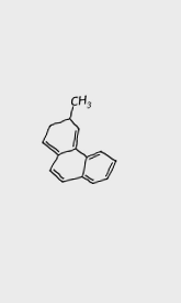 CC1C=c2c(ccc3ccccc23)=CC1